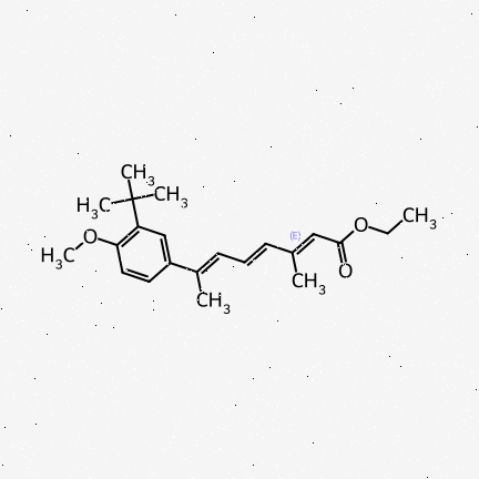 CCOC(=O)/C=C(\C)C=CC=C(C)c1ccc(OC)c(C(C)(C)C)c1